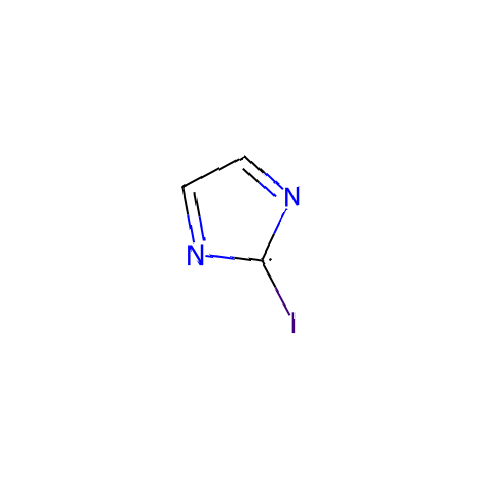 I[C]1N=CC=N1